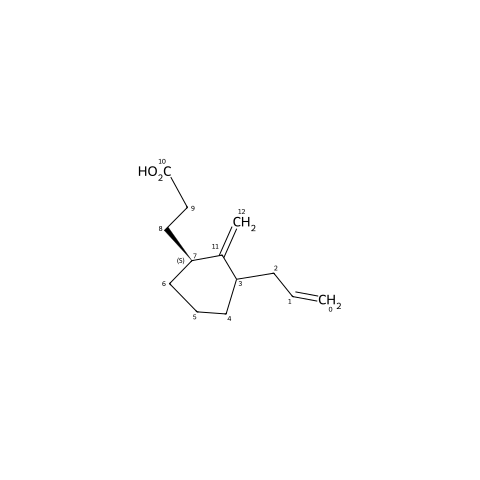 C=CCC1CCC[C@@H](CCC(=O)O)C1=C